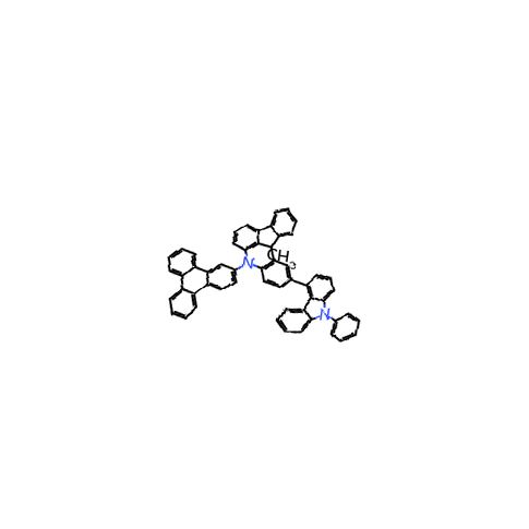 CC12c3ccccc3-c3cccc(c31)N(c1ccc3c4ccccc4c4ccccc4c3c1)c1ccc(-c3cccc4c3c3ccccc3n4-c3ccccc3)cc12